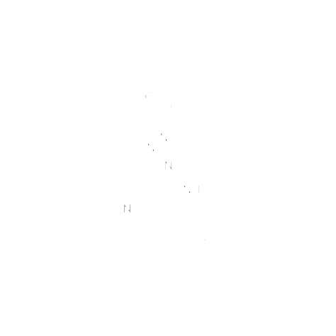 CCOC(=O)c1ccn(-c2cc(C#N)cc(Nc3ccc(Cl)cc3)n2)n1